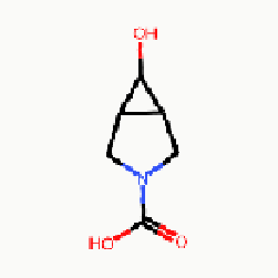 O=C(O)N1CC2C(O)C2C1